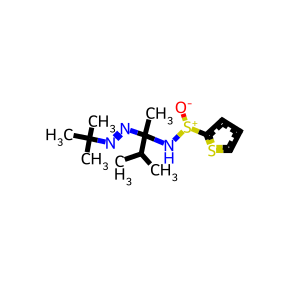 CC(C)C(C)(N=NC(C)(C)C)N[S+]([O-])c1cccs1